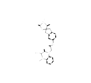 CCCCC1C(=O)N(CC(=O)Nc2ccc3c(c2)CC2(C3)NC(=O)NC2=O)c2ccccc2N1C